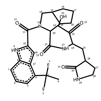 CC(F)(F)c1cccc2[nH]c(C(=O)N3CC4CCCC4C3C(=O)NC(CC3CCNC3=O)C(=O)CO)cc12